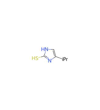 CC(C)c1c[nH]c(S)n1